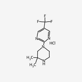 CC1(C)CN(c2ncc(C(F)(F)F)cn2)CCN1.Cl